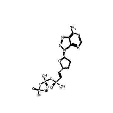 Nc1ncnc2c1nnn2[C@H]1CC[C@@H](/C=C/P(=O)(O)OP(=O)(O)OP(=O)(O)O)O1